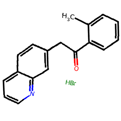 Br.Cc1ccccc1C(=O)Cc1ccc2cccnc2c1